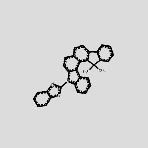 CC1(C)c2ccccc2-c2ccc3ccc4c(c5ccccc5n4-c4nc5ccccc5s4)c3c21